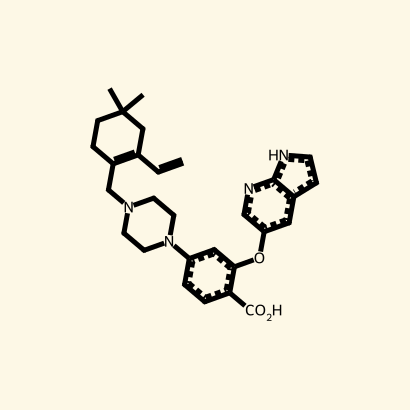 C=CC1=C(CN2CCN(c3ccc(C(=O)O)c(Oc4cnc5[nH]ccc5c4)c3)CC2)CCC(C)(C)C1